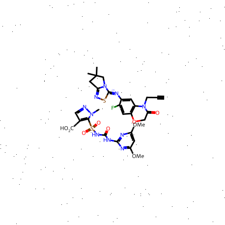 C#CCN1C(=O)COc2cc(F)c(/N=c3\snc4n3CC(C)(C)C4)cc21.COc1cc(OC)nc(NC(=O)NS(=O)(=O)c2c(C(=O)O)cnn2C)n1